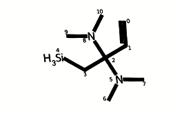 C=CC(C[SiH3])(N(C)C)N(C)C